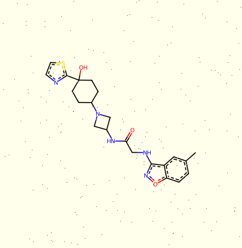 Cc1ccc2onc(NCC(=O)NC3CN(C4CCC(O)(c5nccs5)CC4)C3)c2c1